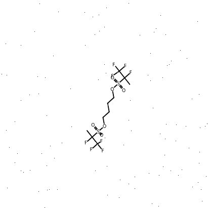 CC(F)(C(F)(F)F)S(=O)(=O)OCCCCOS(=O)(=O)C(C)(F)C(F)(F)F